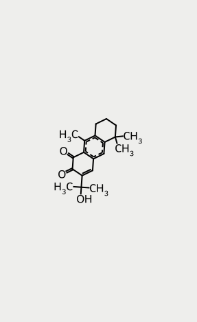 Cc1c2c(cc3c1C(=O)C(=O)C(C(C)(C)O)=C3)C(C)(C)CCC2